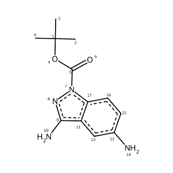 CC(C)(C)OC(=O)n1nc(N)c2cc(N)ccc21